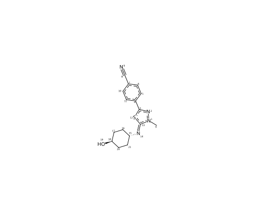 Cn1nc(-c2ccc(C#N)cc2)sc1=N[C@H]1CC[C@H](O)CC1